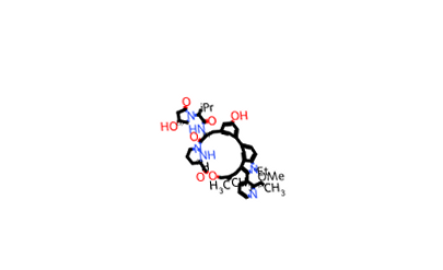 CCn1c(-c2cccnc2[C@H](C)OC)c2c3cc(ccc31)-c1cc(O)cc(c1)C[C@H](NC(=O)C(C(C)C)N1C[C@@H](O)CC1=O)C(=O)N1CCC[C@H](N1)C(=O)OCC(C)(C)C2